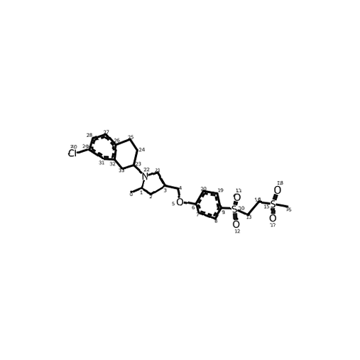 CC1CC(COc2ccc(S(=O)(=O)CCS(C)(=O)=O)cc2)CN1C1CCc2ccc(Cl)cc2C1